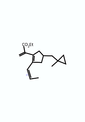 C=C(C(=O)OCC)C1=C(/C=C\C)CC(CC2(C)CC2)C1